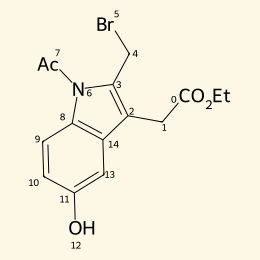 CCOC(=O)Cc1c(CBr)n(C(C)=O)c2ccc(O)cc12